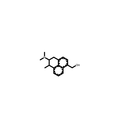 CC1c2cccc3c(CO)ccc(c23)CC1N(C)C